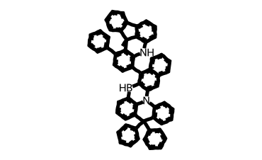 CC12c3ccccc3-c3cccc(c31)Nc1c(-c3c4c(cc5ccccc35)N3c5ccccc5C(c5ccccc5)(c5ccccc5)c5cccc(c53)B4)ccc(-c3ccccc3)c12